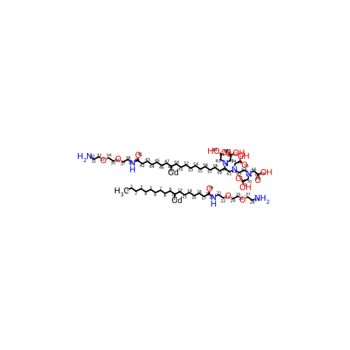 CCCCCCCCCC[CH]([Gd])CCCCCCC(=O)NCCOCCOCCN.NCCOCCOCCNC(=O)CCCCCC[CH]([Gd])CCCCCCCCCCC(CN(CCN(CC(=O)O)CC(=O)O)CC(=O)O)N(CC(=O)O)CC(=O)O